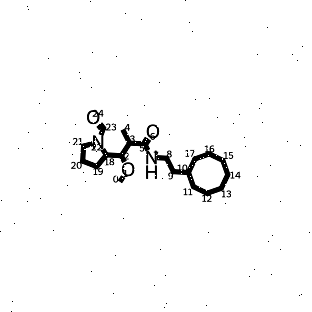 COC(C(C)C(=O)NCCC1CCCCCCC1)C1CCCN1C=O